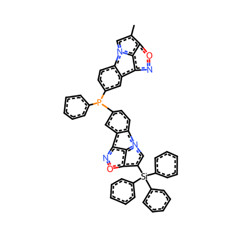 Cc1cn2c3ccc(P(c4ccccc4)c4ccc5c(c4)c4noc6c([Si](c7ccccc7)(c7ccccc7)c7ccccc7)cn5c64)cc3c3noc1c32